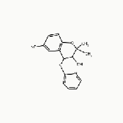 CC1(C)Oc2ccc(C#N)cc2C(Sc2ccccn2)C1O